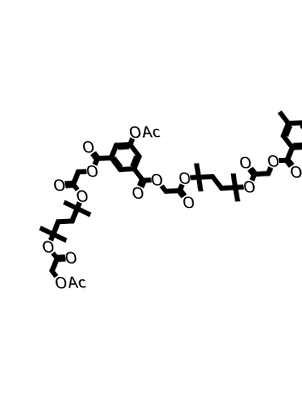 CC(=O)OCC(=O)OC(C)(C)CCC(C)(C)OC(=O)COC(=O)c1cc(OC(C)=O)cc(C(=O)OCC(=O)OC(C)(C)CCC(C)(C)OC(=O)COC(=O)c2cccc(C)c2)c1